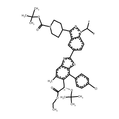 CCOC(=O)[C@@H](OC(C)(C)C)c1c(C)cc2nc(-c3ccc4c(c3)c(C3CCN(C(=O)OC(C)(C)C)CC3)nn4C(F)F)sc2c1-c1ccc(Cl)cc1